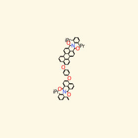 C=Cc1cccc(C(C)C)c1N1C(=O)c2cccc3c(Oc4ccc(Oc5ccc6c7ccc8c9c(ccc(c%10cccc5c%106)c97)C(=O)N(c5c(C(C)C)cccc5C(C)C)C8=O)cc4)ccc(c23)C1=O